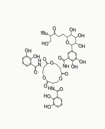 CC(C)(C)C(CO)C(=O)CCC1OC(c2cc(O)c(O)c(C(=O)N[C@H]3COC(=O)[C@@H](NC(=O)c4cccc(O)c4O)COC(=O)[C@@H](NC(=O)c4cccc(O)c4O)COC3=O)c2)C(O)C(O)C1O